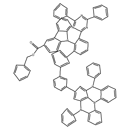 O=C(OCc1ccccc1)c1ccc2c(c1)c1ccccc1n2-c1c(-c2cccc(-c3cccc(-c4cc5c6c(c4)N(c4ccccc4)c4ccccc4B6c4ccccc4N5c4ccccc4)c3)c2)cccc1-c1nc(-c2ccccc2)nc(-c2ccccc2)n1